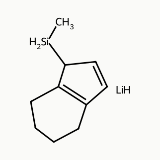 C[SiH2]C1C=CC2=C1CCCC2.[LiH]